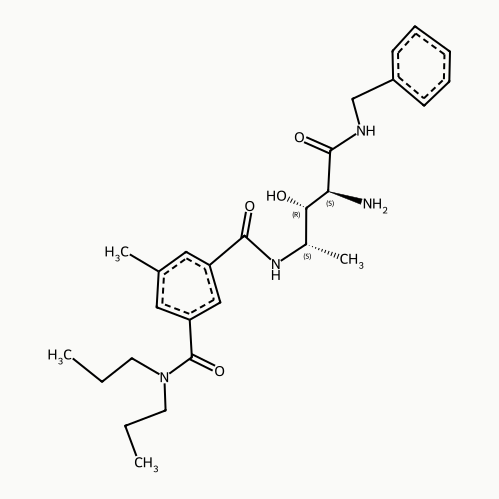 CCCN(CCC)C(=O)c1cc(C)cc(C(=O)N[C@@H](C)[C@H](O)[C@H](N)C(=O)NCc2ccccc2)c1